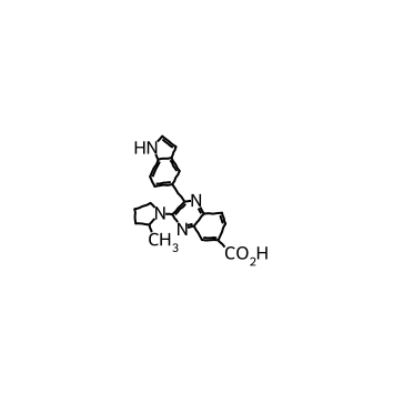 CC1CCCN1c1nc2cc(C(=O)O)ccc2nc1-c1ccc2[nH]ccc2c1